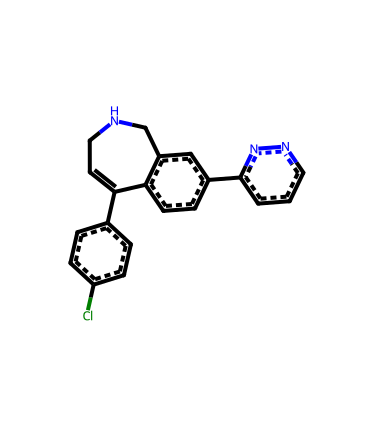 Clc1ccc(C2=CCNCc3cc(-c4cccnn4)ccc32)cc1